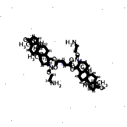 C[C@]12CC/C(=N\OCCN)C(OC(=O)/C=C/C(=O)OC3/C(=N/OCCN)CC[C@@]4(C)C3CC[C@@H]3[C@H]4CC[C@]4(C)C(=O)CC[C@@H]34)C1CC[C@@H]1[C@H]2CC[C@]2(C)C(=O)CC[C@@H]12